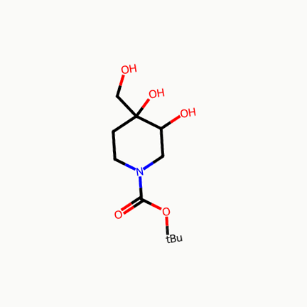 CC(C)(C)OC(=O)N1CCC(O)(CO)C(O)C1